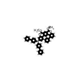 COC(=O)c1cc(C(=O)OC)c(-c2ccccc2-c2ccccc2)cc1-c1ccc(N(c2ccc(-c3ccccc3)cc2)c2ccc(-c3ccccc3)cc2)cc1